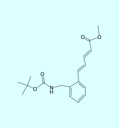 COC(=O)C=CC=Cc1ccccc1CNC(=O)OC(C)(C)C